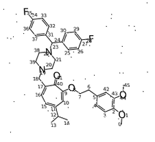 COc1ccc(CCOc2cc(C(C)C)ccc(CN3CCN(C(c4ccc(F)cc4)c4ccc(F)cc4)CC3)c2=O)cc1OC